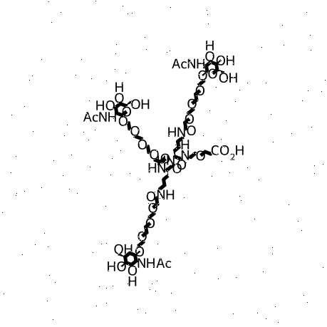 CC(=O)N[C@@H]1[C@@H](O)[C@@H](O)[C@@H](CO)C[C@H]1OCCOCCOCCOCC(=O)NCCCC[C@H](NC(=O)COCCOCCOCCO[C@@H]1O[C@H](CO)[C@H](O)[C@H](O)[C@H]1NC(C)=O)C(=O)N[C@@H](CCCCNC(=O)COCCOCCOCCO[C@@H]1O[C@H](CO)[C@H](O)[C@H](O)[C@H]1NC(C)=O)C(=O)NCCOCCC(=O)O